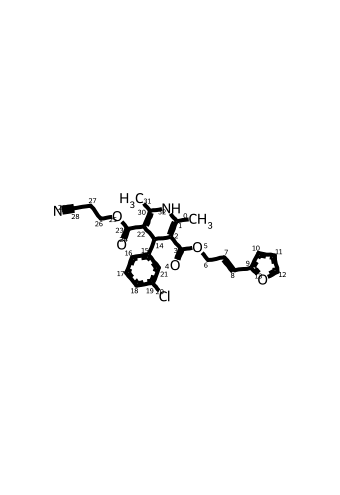 CC1=C(C(=O)OCC=Cc2ccco2)C(c2cccc(Cl)c2)C(C(=O)OCCC#N)=C(C)N1